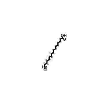 O=C(O)CCCCCCCCCCCCCC[CH2][Hg][Cl]